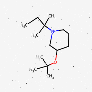 CCC(C)(C)N1CCCC(OC(C)(C)C)C1